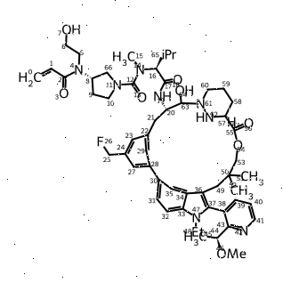 C=CC(=O)N(CCO)[C@H]1CCN(C(=O)N(C)[C@H](C(=O)N[C@H]2Cc3cc(CF)cc(c3)-c3ccc4c(c3)c(c(-c3cccnc3[C@H](C)OC)n4CC)CC(C)(C)COC(=O)[C@@H]3CCCN(N3)C2O)C(C)C)C1